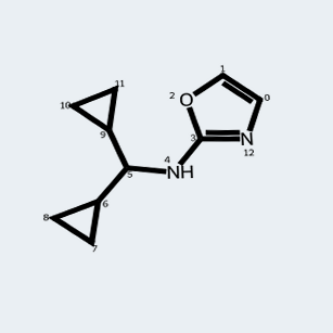 c1coc(NC(C2CC2)C2CC2)n1